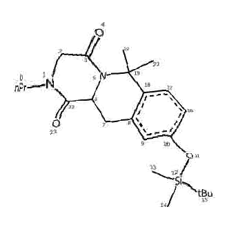 CCCN1CC(=O)N2C(Cc3cc(O[Si](C)(C)C(C)(C)C)ccc3C2(C)C)C1=O